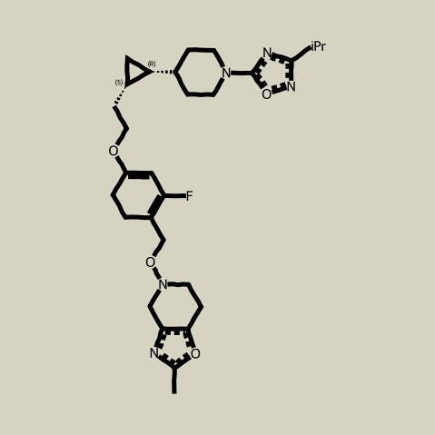 Cc1nc2c(o1)CCN(OCC1=C(F)C=C(OCC[C@@H]3C[C@@H]3C3CCN(c4nc(C(C)C)no4)CC3)CC1)C2